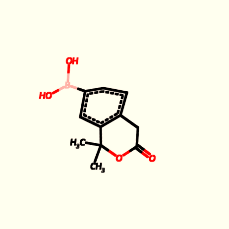 CC1(C)OC(=O)Cc2ccc(B(O)O)cc21